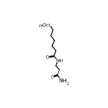 CCCCCCCCCCCCCC(=O)NCCC(N)=O